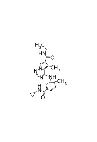 CCNC(=O)c1cn2ncnc(Nc3cc(C(=O)NC4CC4)ccc3C)c2c1C